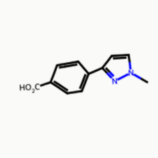 Cn1ccc(-c2ccc(C(=O)O)cc2)n1